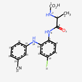 CC(NC(=O)O)C(=O)Nc1ccc(F)cc1Nc1cccc(C#N)c1